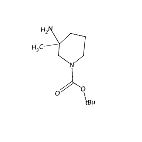 CC1(N)CCCN(C(=O)OC(C)(C)C)C1